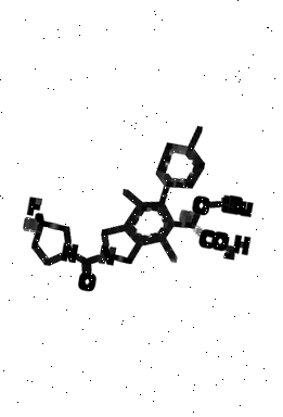 Cc1ccc(-c2c(C)c3c(c(C)c2[C@H](OC(C)(C)C)C(=O)O)CN(C(=O)N2CC[C@@H](F)C2)C3)cc1